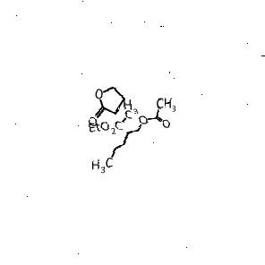 CCCCCOC(C)=O.CCOC(C)=O.O=C1CCCO1